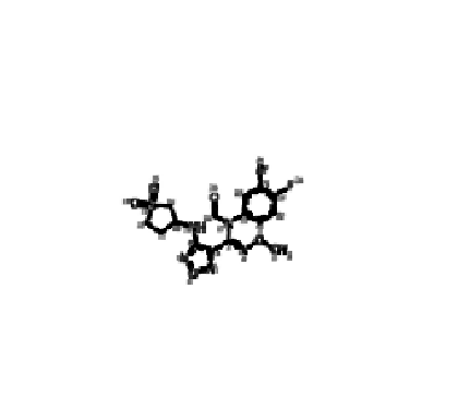 CO/N=C(/c1nonc1NC1CCS(=O)(=O)C1)N(C=O)c1ccc(F)c(Br)c1